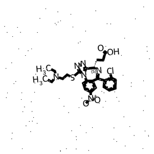 CCN(CC)CCSc1nnc2n1-c1ccc([N+](=O)[O-])cc1C(c1ccccc1Cl)=N[C@H]2CCC(=O)O